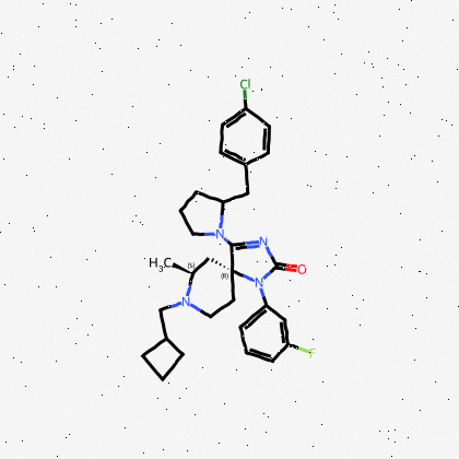 C[C@H]1C[C@]2(CCN1CC1CCC1)C(N1CCCC1Cc1ccc(Cl)cc1)=NC(=O)N2c1cccc(F)c1